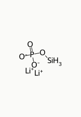 O=P([O-])([O-])O[SiH3].[Li+].[Li+]